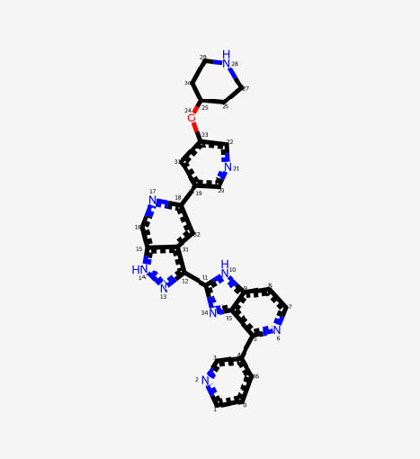 c1cncc(-c2nccc3[nH]c(-c4n[nH]c5cnc(-c6cncc(OC7CCNCC7)c6)cc45)nc23)c1